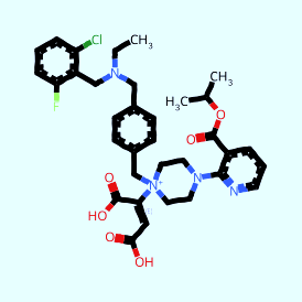 CCN(Cc1ccc(C[N+]2(/C(=C/C(=O)O)C(=O)O)CCN(c3ncccc3C(=O)OC(C)C)CC2)cc1)Cc1c(F)cccc1Cl